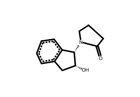 O=C1CCCN1[C@H]1c2ccccc2C[C@H]1O